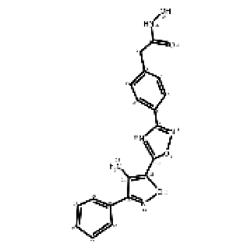 O=C(Cc1ccc(-c2noc(-c3onc(-c4ccccc4)c3C(F)(F)F)n2)cc1)NO